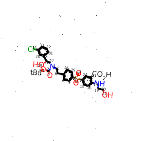 CC(C)(C)OC(=O)N(CCc1ccc(S(=O)(=O)c2ccc(NCCO)c(C(=O)O)c2)cc1)C[C@@H](O)c1cccc(Cl)c1